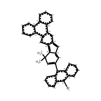 CC1(C)C=C(c2c3ccccc3c(Br)c3ccccc23)C=C2C=c3cc4c5ccccc5c5ccccc5c4cc3=C21